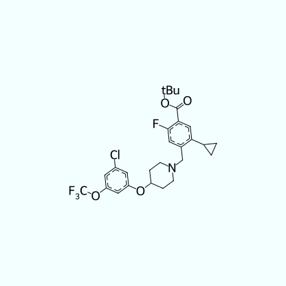 CC(C)(C)OC(=O)c1cc(C2CC2)c(CN2CCC(Oc3cc(Cl)cc(OC(F)(F)F)c3)CC2)cc1F